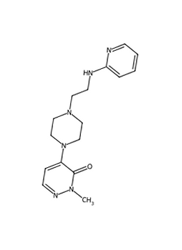 Cn1nccc(N2CCN(CCNc3ccccn3)CC2)c1=O